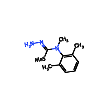 CS/C(=N\N)N(C)c1c(C)cccc1C